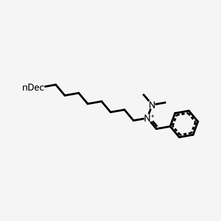 CCCCCCCCCCCCCCCCCC[N+](=Cc1ccccc1)N(C)C